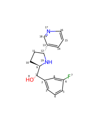 O[C@@H](c1cccc(F)c1)[C@H]1CC[C@H](c2cccnc2)N1